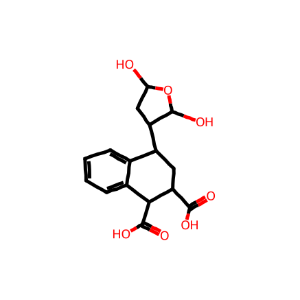 O=C(O)C1CC(C2CC(O)OC2O)c2ccccc2C1C(=O)O